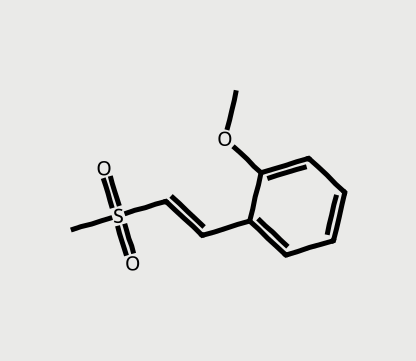 COc1ccccc1C=CS(C)(=O)=O